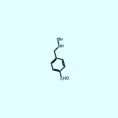 CC(C)(C)NCc1ccc(C=O)cc1